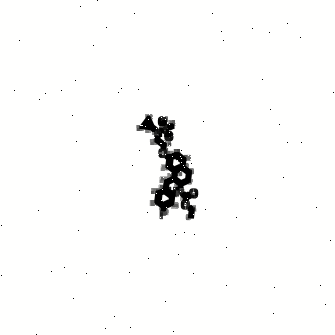 CCOC(=O)NC1CCc2ccc(OCCN(C3CC3)S(C)(=O)=O)cc2C1Cc1ccc(F)cc1